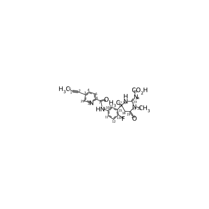 CC#Cc1ccc(C(=O)Nc2ccc(F)c(C3(C)CC(=O)N(C)C(=NC(=O)O)N3)c2)nc1